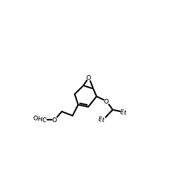 CCC(CC)OC1C=C(CCOC=O)CC2OC12